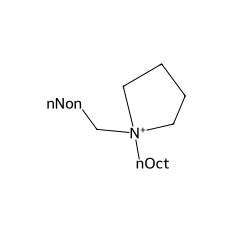 CCCCCCCCCC[N+]1(CCCCCCCC)CCCC1